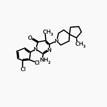 Cc1c(N2CCC3(CCC[C@H]3C)CC2)nc(N)n(-c2cccc(Cl)c2Cl)c1=O